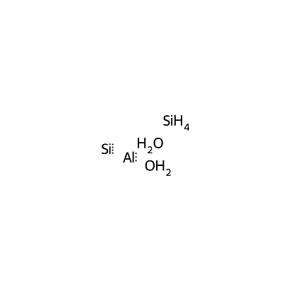 O.O.[Al].[SiH4].[Si]